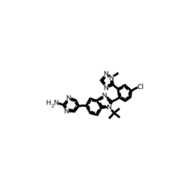 Cn1ncnc1-c1cc(Cl)ccc1-c1nc2cc(-c3cnc(N)nc3)ccc2n1C(C)(C)C